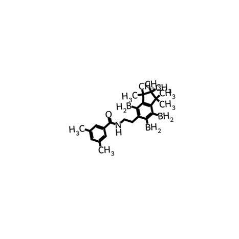 Bc1c(B)c2c(c(B)c1CCNC(=O)c1cc(C)cc(C)c1)C(C)(C)C(C)(C)C2(C)C